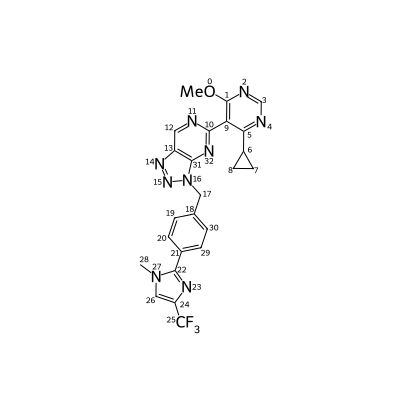 COc1ncnc(C2CC2)c1-c1ncc2nnn(Cc3ccc(-c4nc(C(F)(F)F)cn4C)cc3)c2n1